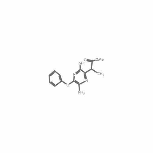 COC(=O)C(C)c1nc(N)c(Oc2ccccc2)nc1S